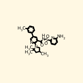 Cc1cccc(-c2cnc(N3CC(C)CC3(C)C)c(C(=O)NS(=O)(=O)c3cccc(N)n3)c2)c1